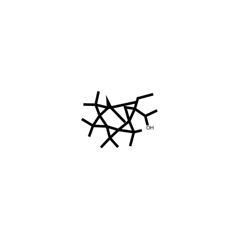 CCC1(C(C)O)CC12C(C)(C)C21C(C)(C)C12C(C)(C)C21C(C)(C)C12CC2(C)C